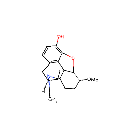 COC1CCC2[C@H]3Cc4ccc(O)c5c4[C@@]2(CCN3C)C1O5